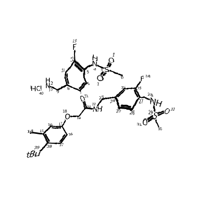 CS(=O)(=O)Nc1ccc(CN)cc1F.Cc1cc(OCC(=O)NCc2ccc(NS(C)(=O)=O)c(F)c2)ccc1C(C)(C)C.Cl